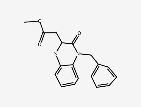 COC(=O)CC1Sc2ccccc2N(Cc2ccccc2)C1=O